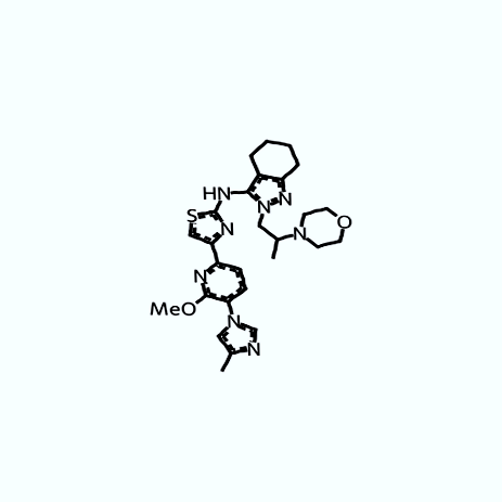 COc1nc(-c2csc(Nc3c4c(nn3CC(C)N3CCOCC3)CCCC4)n2)ccc1-n1cnc(C)c1